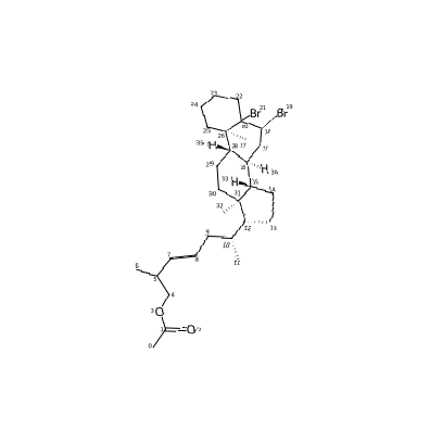 CC(=O)OCC(C)CCC[C@@H](C)[C@H]1CC[C@H]2[C@@H]3CC(Br)C4(Br)CCCC[C@]4(C)[C@H]3CC[C@]12C